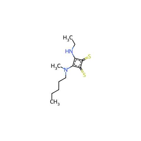 CCCCCN(C)c1c(NCC)c(=S)c1=S